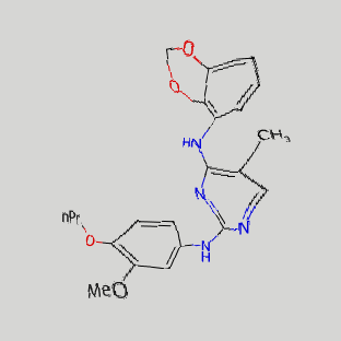 CCCOc1ccc(Nc2ncc(C)c(Nc3cccc4c3OCO4)n2)cc1OC